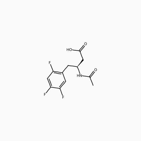 CC(=O)N[C@H](CC(=O)O)Cc1cc(F)c(F)cc1F